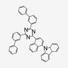 C1=CC2c3ccccc3N(c3ccc(-c4nc(-c5cccc(-c6ccccc6)c5)nc(-c5cccc(-c6ccccc6)c5)n4)c4ccccc34)C2C=C1